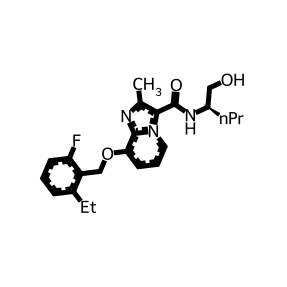 CCC[C@H](CO)NC(=O)c1c(C)nc2c(OCc3c(F)cccc3CC)cccn12